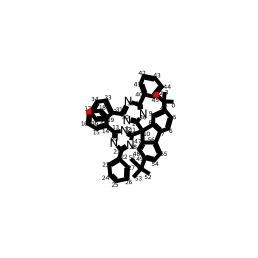 CC(C)(C)c1ccc2c(c1)C(c1nc(-c3ccccc3)nc(-c3ccccc3)n1)(c1nc(-c3ccccc3)nc(-c3ccccc3)n1)c1cc(C(C)(C)C)ccc1-2